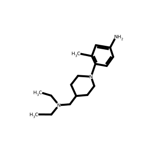 CCN(CC)CC1CCN(c2ccc(N)cc2C)CC1